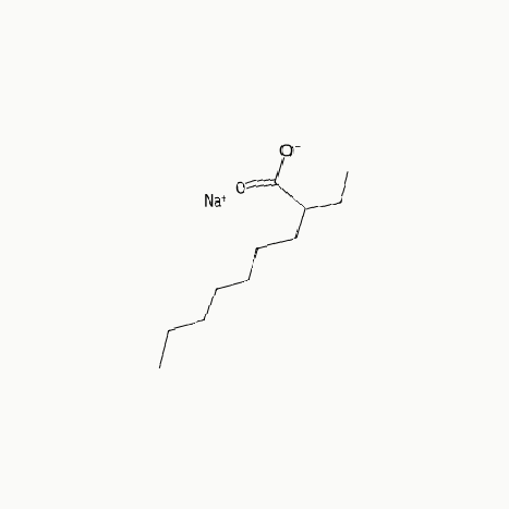 CCCCCCCC(CC)C(=O)[O-].[Na+]